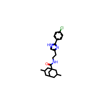 CC1CC2CC(C)CC(C(=O)NCCc3c[nH]c(-c4ccc(Cl)cc4)n3)(C1)C2